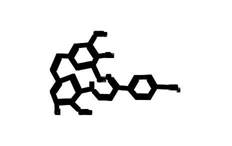 CCC(C)c1c(O)cc(/C=C\c2cc(Cl)c(OC)c(N/C=C\C(=O)c3ccc([N+](=O)[O-])cc3)c2)cc1OC